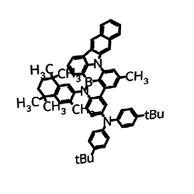 Cc1cc2c3c(c1)-n1c4cc5ccccc5cc4c4cccc(c41)B3N(c1cc3c(cc1C)C(C)(C)CCC3(C)C)c1ccc(N(c3ccc(C(C)(C)C)cc3)c3ccc(C(C)(C)C)cc3)cc1-2